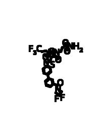 NS(=O)(=O)CCNC(=O)C(c1nc2ccc(-c3cccc(C(=O)N4CC(F)(F)C4)c3)cc2s1)S(=O)(=O)CCC(F)(F)F